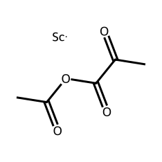 CC(=O)OC(=O)C(C)=O.[Sc]